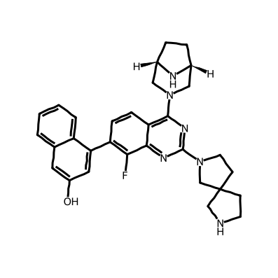 Oc1cc(-c2ccc3c(N4C[C@H]5CC[C@@H](C4)N5)nc(N4CCC5(CCNC5)C4)nc3c2F)c2ccccc2c1